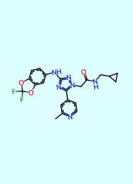 Cc1cc(-c2nc(Nc3ccc4c(c3)OC(F)(F)O4)nn2CC(=O)NCC2CC2)ccn1